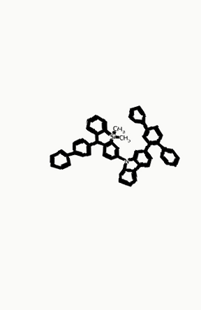 C[Si]1(C)c2ccccc2C(c2ccc(-c3ccccc3)cc2)c2ccc(-n3c4ccccc4c4ccc(-c5cc(-c6ccccc6)ccc5-c5ccccc5)cc43)cc21